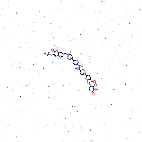 CCc1cc2ncc(CN3CCN(c4ccc(C(=O)NC5CCN(c6ccc7c(c6)CN(C6CCC(=O)NC6=O)C7=O)CC5)nc4)CC3)cc2[nH]c1=O